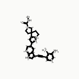 CCNC(=O)N1CCC2(CCn3nc(-c4cnc5[nH]cc(C#Cc6cncc(N)c6C)c5c4)cc32)C1